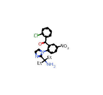 CCC(N)(CC)c1nccn1-c1ccc([N+](=O)[O-])cc1C(=O)c1ccccc1Cl